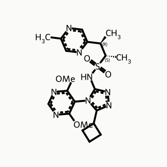 COc1ncnc(OC)c1-n1c(NS(=O)(=O)[C@@H](C)[C@H](C)c2cnc(C)cn2)nnc1C1CCC1